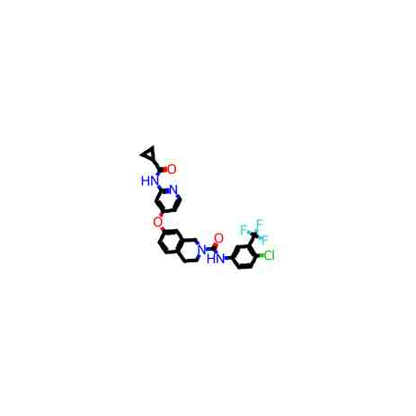 O=C(Nc1cc(Oc2ccc3c(c2)CN(C(=O)Nc2ccc(Cl)c(C(F)(F)F)c2)CC3)ccn1)C1CC1